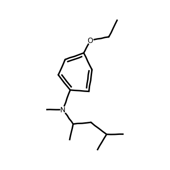 CCOc1ccc(N(C)C(C)CC(C)C)cc1